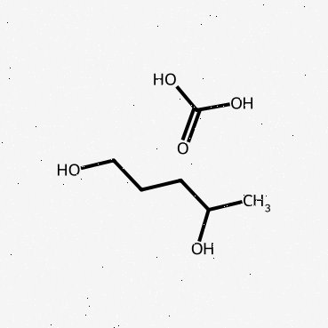 CC(O)CCCO.O=C(O)O